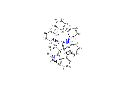 Cc1ccccc1-c1c2c3c4ccccc4n4c5ccccc5c5ccccc5c5ccccc5n(c2cc[n+]1C)c34